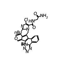 CCCCc1nc(Cl)c(C(=O)NCC(N)=O)n1Cc1c2ccocc-2c(Br)c1-c1ccccc1-c1nnn[nH]1